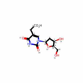 O=C(O)Cc1cn([C@H]2C[C@@H](O)[C@@H](CO)O2)c(=O)[nH]c1=O